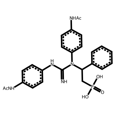 CC(=O)Nc1ccc(NC(=N)N(c2ccc(NC(C)=O)cc2)C(CP(=O)(O)O)c2ccccc2)cc1